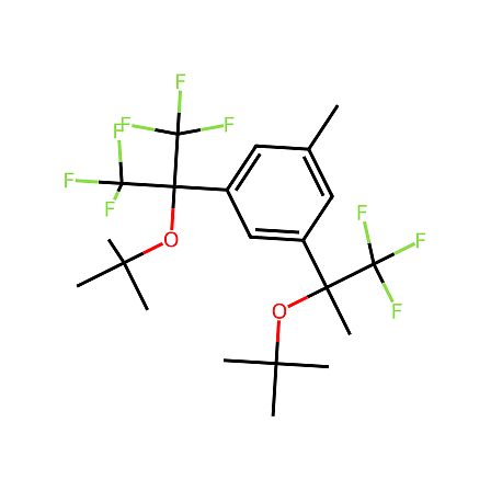 Cc1cc(C(C)(OC(C)(C)C)C(F)(F)F)cc(C(OC(C)(C)C)(C(F)(F)F)C(F)(F)F)c1